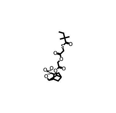 CCC(C)(C)C(=O)SCC(=O)OCC(=O)OC1C2CC3C1OS(=O)(=O)C3C2